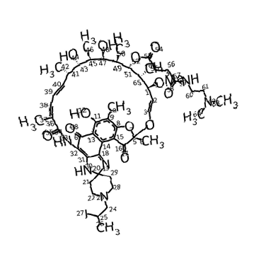 CO[C@H]1/C=C/O[C@@]2(C)Oc3c(C)c(O)c4c(c3C2=O)C2=NC3(CCN(CC(C)I)CC3)NC2=C(NC(=O)/C(C)=C\C=C\[C@H](C)[C@H](O)[C@@H](C)[C@@H](O)[C@@H](C)[C@H](OC(=O)CCC(=O)NCCN(C)C)[C@@H]1C)C4=O